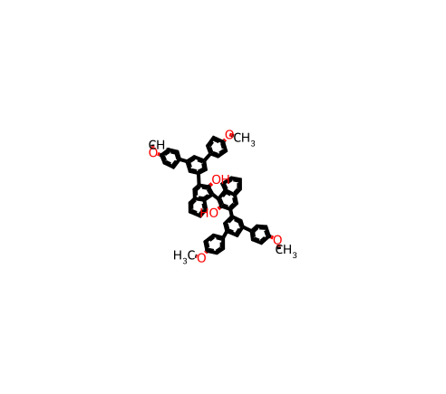 COc1ccc(-c2cc(-c3ccc(OC)cc3)cc(-c3cc4ccccc4c(-c4c(O)c(-c5cc(-c6ccc(OC)cc6)cc(-c6ccc(OC)cc6)c5)cc5ccccc45)c3O)c2)cc1